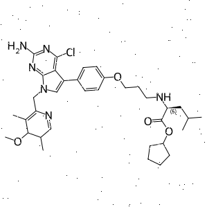 COC1C(C)=C(Cn2cc(-c3ccc(OCCCN[C@@H](CC(C)C)C(=O)OC4CCCC4)cc3)c3c(Cl)nc(N)nc32)N=CC1C